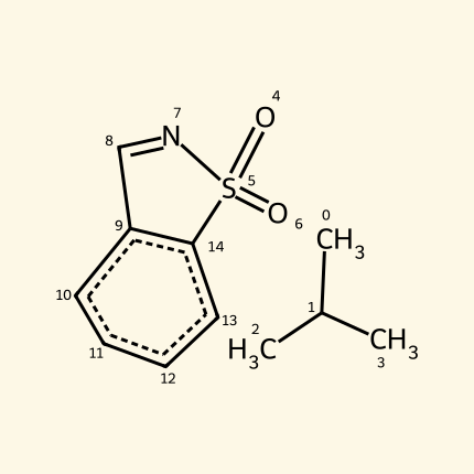 CC(C)C.O=S1(=O)N=Cc2ccccc21